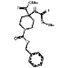 COC(=O)C1(NC(=O)OC(C)(C)C)CCN(C(=O)OCc2ccccc2)CC1